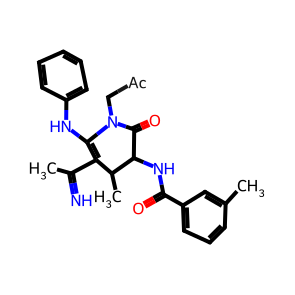 CC(=N)C1=C(Nc2ccccc2)N(CC(C)=O)C(=O)C(NC(=O)c2cccc(C)c2)C1C